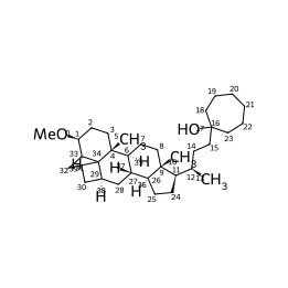 CO[C@H]1CC[C@]2(C)[C@H]3CC[C@]4(C)[C@@H]([C@H](C)CCC5(O)CCCCCC5)CC[C@H]4[C@@H]3C[C@H]3CC4C[C@@H]1C432